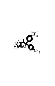 COC(c1ccc(C(F)(F)F)cc1)(c1ccc(C(F)(F)F)cc1)C(C)c1c[nH]nn1